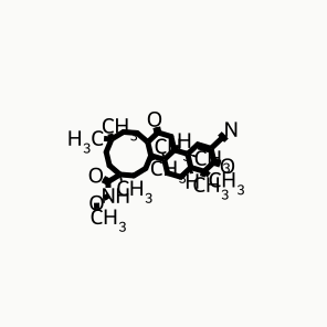 CONC(=O)[C@@]1(C)CCC(C)(C)CCC2C(=O)C[C@@H]3[C@@]4(C)C=C(C#N)C(=O)C(C)(C)[C@@H]4CC[C@@]3(C)[C@]2(C)CC1